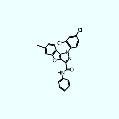 Cc1ccc2c(c1)oc1c(C(=O)Nc3ccccc3)nn(-c3ccc(Cl)cc3Cl)c12